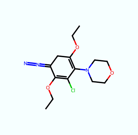 CCOC1=C(N2CCOCC2)C(Cl)=C(OCC)C(=[N+]=[N-])C1